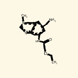 CCOC(=O)Nc1cc(N)cc2c1ncn2C